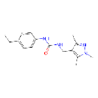 CCc1ccc(NC(=O)NCc2c(C)nn(C)c2C)cc1